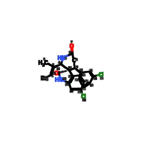 CCC=C(C)[C@H]1NC(=O)C[C@@H](c2cccc(Cl)c2)[C@]12C(=O)Nc1cc(Cl)ccc12